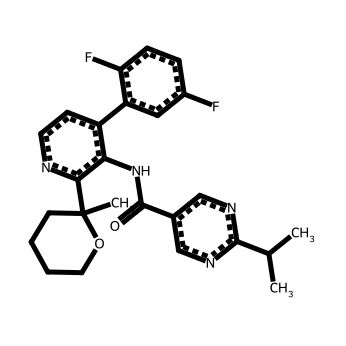 CC(C)c1ncc(C(=O)Nc2c(-c3cc(F)ccc3F)ccnc2C2(C)CCCCO2)cn1